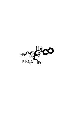 CCOC(=O)[C@H](CC(C)C)NC(=O)[C@H](CC(=O)OC(C)(C)C)NS(=O)(=O)c1ccc2ccccc2c1